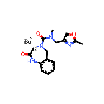 CC[C@H](C)[C@H]1C(=O)Nc2ccccc2CN1C(=O)N(C)Cc1coc(C)n1